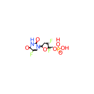 O=c1[nH]c(=O)n([C@H]2C[C@H](F)[C@@](F)(COP(=O)(O)O)O2)cc1F